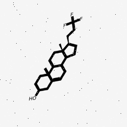 CC12CCC(O)CC1=CCC1C2CC[C@@]2(C)C1CC[C@@H]2CCC(F)(F)F